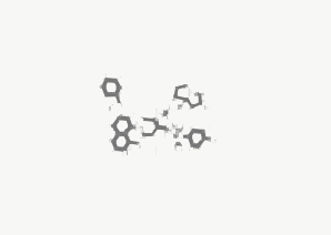 CCc1c(F)ccc2cc(OCc3ccccc3)cc(N3CCc4c(nc(OC[C@@]56CCCN5C[C@H](F)C6)nc4OS(=O)(=O)c4ccc(C)cc4)C3)c12